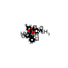 CC(=O)N1CCC(Nc2ccc(I)cc2[C@H]2NC(=O)C[C@@H](C3C=CC=C(Cl)C3)[C@]23C(=O)Nc2cc(Cl)ccc23)CC1